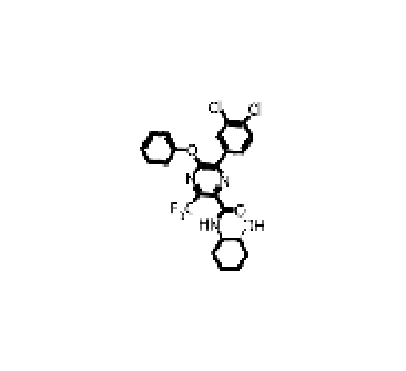 O=C(N[C@@H]1CCCC[C@H]1O)c1nc(-c2ccc(Cl)c(Cl)c2)c(Oc2ccccc2)nc1C(F)(F)F